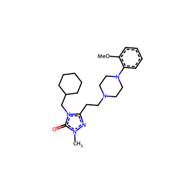 COc1ccccc1N1CCN(CCc2nn(C)c(=O)n2CC2CCCCC2)CC1